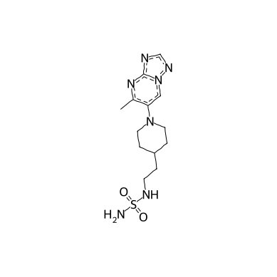 Cc1nc2ncnn2cc1N1CCC(CCNS(N)(=O)=O)CC1